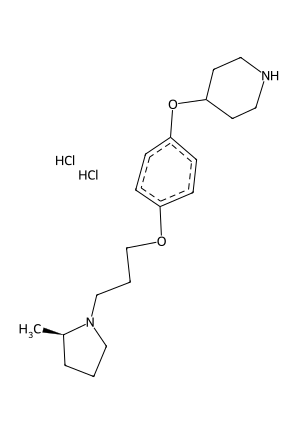 C[C@@H]1CCCN1CCCOc1ccc(OC2CCNCC2)cc1.Cl.Cl